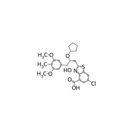 COc1cc([C@@H](O)[C@H](Cc2nc3c(C(=O)O)cc(Cl)cc3s2)OC2CCCC2)cc(OC)c1C